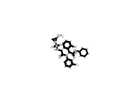 C[C@@H]1CN1S(=O)(=O)NCC(=O)N(c1cccc(F)c1)[C@@H](C(=O)NC1CCCCC1)c1ccccc1Cl